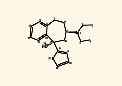 CCN(CC)[C@@H]1CCc2ccccc2[C@](O)(c2cccs2)C1